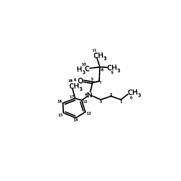 CCCCN(C(=O)CC(C)(C)C)c1ccccc1C